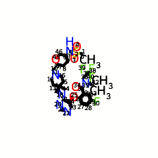 CCS(=O)(=O)N[C@@H]1CC[C@@H](CN2CCC3(CC2)CN(c2ncncc2Oc2ccc(F)cc2C(=O)N(CC(F)(F)F)C(C)C)C3)OC1